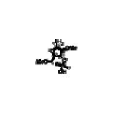 B[C@@H]1O[C@H](COC)[C@H](OP(C)(=O)O)C1OC